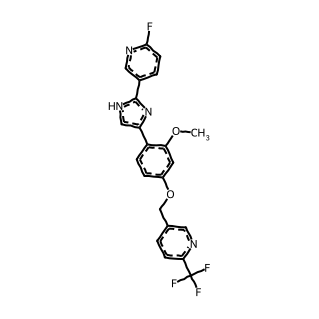 COc1cc(OCc2ccc(C(F)(F)F)nc2)ccc1-c1c[nH]c(-c2ccc(F)nc2)n1